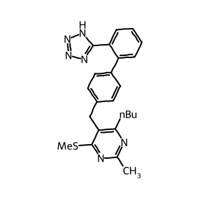 CCCCc1nc(C)nc(SC)c1Cc1ccc(-c2ccccc2-c2nnn[nH]2)cc1